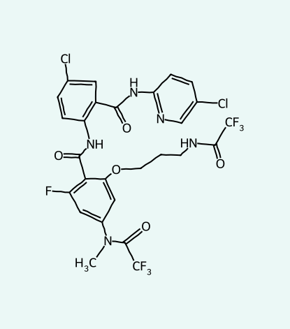 CN(C(=O)C(F)(F)F)c1cc(F)c(C(=O)Nc2ccc(Cl)cc2C(=O)Nc2ccc(Cl)cn2)c(OCCCNC(=O)C(F)(F)F)c1